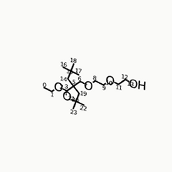 CCOC(=O)C(COCCOCCO)(CC(C)(C)C)CC(C)(C)C